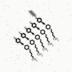 CCCCCC[C@H]1CC[C@H](C#Cc2ccc([S])cc2)CC1.CCCCCC[C@H]1CC[C@H](C#Cc2ccc([S])cc2)CC1.CCCCCC[C@H]1CC[C@H](C#Cc2ccc([S])cc2)CC1.CCCCCC[C@H]1CC[C@H](C#Cc2ccc([S])cc2)CC1.CCCCCC[C@H]1CC[C@H](C#Cc2ccc([S])cc2)CC1.F.F.F.F.F